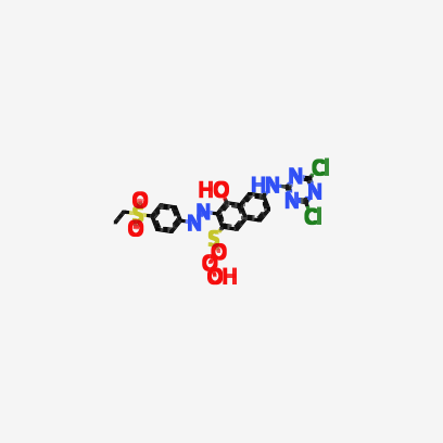 CCS(=O)(=O)c1ccc(/N=N/c2c(SOOO)cc3ccc(Nc4nc(Cl)nc(Cl)n4)cc3c2O)cc1